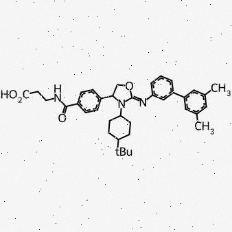 Cc1cc(C)cc(-c2cccc(/N=C3\OCC(c4ccc(C(=O)NCCC(=O)O)cc4)N3C3CCC(C(C)(C)C)CC3)c2)c1